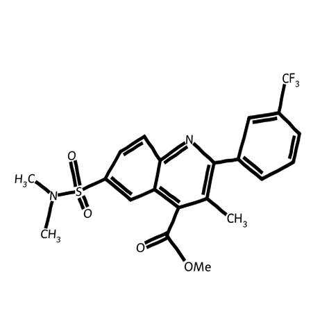 COC(=O)c1c(C)c(-c2cccc(C(F)(F)F)c2)nc2ccc(S(=O)(=O)N(C)C)cc12